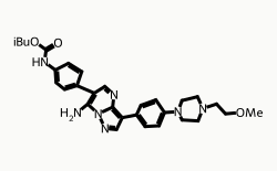 COCCN1CCN(c2ccc(-c3cnn4c(N)c(-c5ccc(NC(=O)OCC(C)C)cc5)cnc34)cc2)CC1